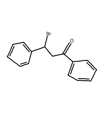 O=C(CC(Br)c1ccccc1)c1ccccc1